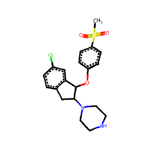 CS(=O)(=O)c1ccc(OC2c3cc(Cl)ccc3CC2N2CCNCC2)cc1